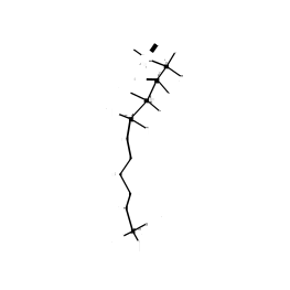 O=S(=O)(O)C(F)(F)C(F)(F)C(F)(F)C(F)(F)CCCCCC(F)(F)F